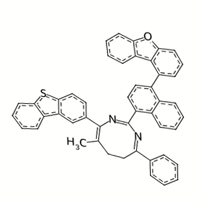 C/C1=C(c2ccc3sc4ccccc4c3c2)/N=C(c2ccc(-c3cccc4oc5ccccc5c34)c3ccccc23)\N=C(\c2ccccc2)CC1